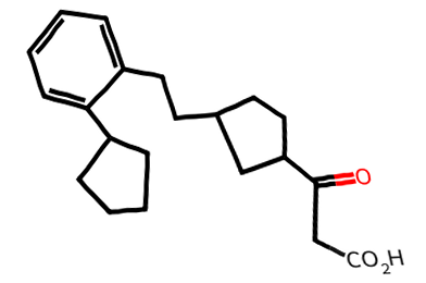 O=C(O)CC(=O)C1CCC(CCc2ccccc2C2CCCC2)C1